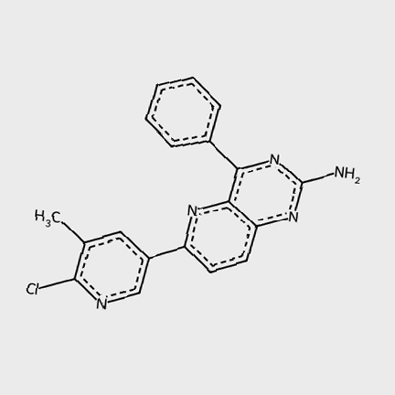 Cc1cc(-c2ccc3nc(N)nc(-c4ccccc4)c3n2)cnc1Cl